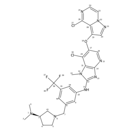 CN(C)[C@@H]1CCN(Cc2cc(Nc3nc4ncc(Oc5cnn6ccnc(Cl)c56)c(Cl)c4n3C)cc(C(F)(F)F)c2)C1